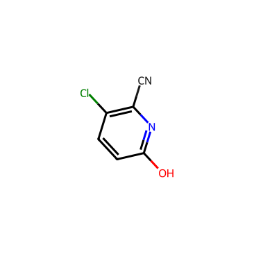 N#Cc1nc(O)ccc1Cl